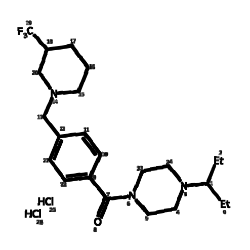 CCC(CC)N1CCN(C(=O)c2ccc(CN3CCCC(C(F)(F)F)C3)cc2)CC1.Cl.Cl